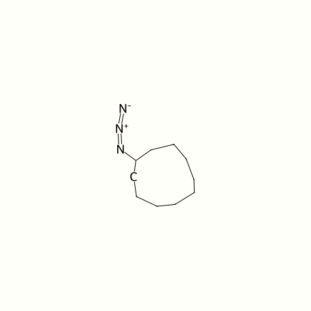 [N-]=[N+]=NC1CCCCCCCCC1